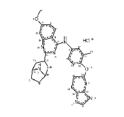 COc1ccc2c(Nc3ccc(Oc4ccn5ncnc5c4)c(C)c3)nc(C3CC4CCC(C3)N4)nc2c1.Cl